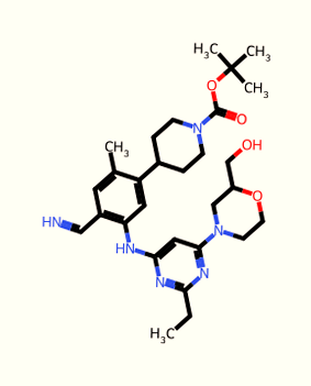 CCc1nc(Nc2cc(C3CCN(C(=O)OC(C)(C)C)CC3)c(C)cc2C=N)cc(N2CCOC(CO)C2)n1